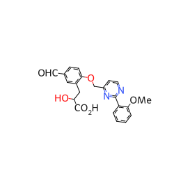 COc1ccccc1-c1nccc(COc2ccc(C=O)cc2CC(O)C(=O)O)n1